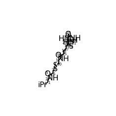 CC(C)CCNC(=O)CCSSCCNC(=O)CCCC[C@@H]1SC[C@@H]2NC(=O)N[C@@H]21